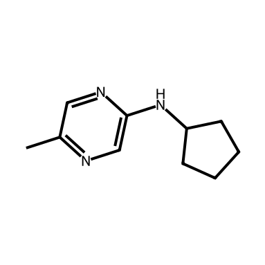 Cc1cnc(NC2CCCC2)cn1